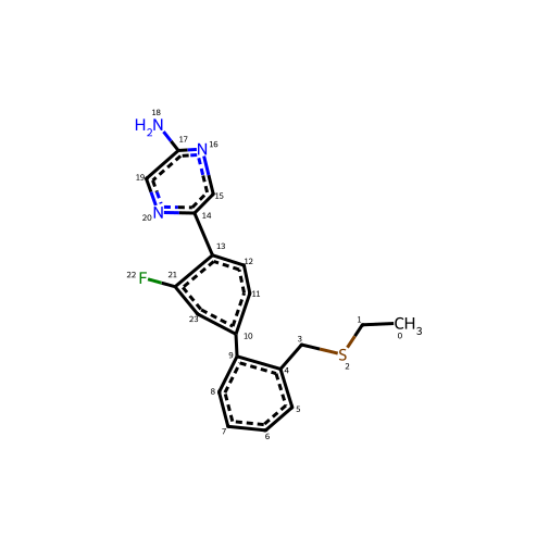 CCSCc1ccccc1-c1ccc(-c2cnc(N)cn2)c(F)c1